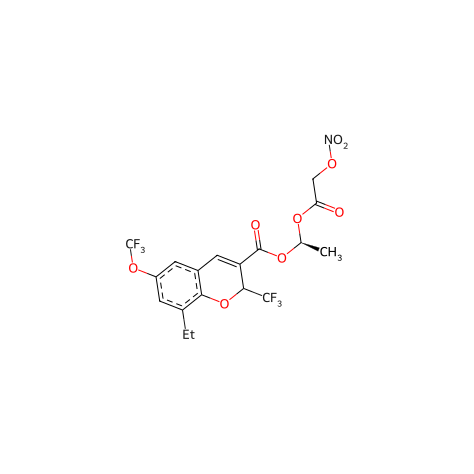 CCc1cc(OC(F)(F)F)cc2c1OC(C(F)(F)F)C(C(=O)O[C@H](C)OC(=O)CO[N+](=O)[O-])=C2